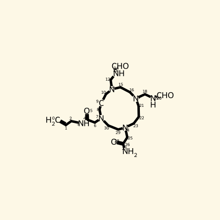 C=CCNC(=O)CN1CCCN(CNC=O)CCN(CNC=O)CCCN(CC(N)=O)CC1